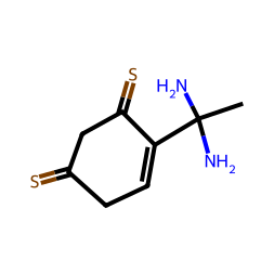 CC(N)(N)C1=CCC(=S)CC1=S